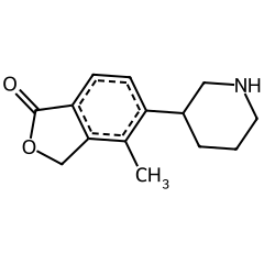 Cc1c(C2CCCNC2)ccc2c1COC2=O